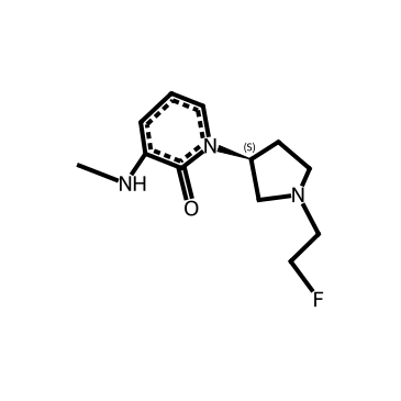 CNc1cccn([C@H]2CCN(CCF)C2)c1=O